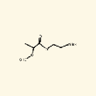 CCCCCCCCOC(=O)C(C)OC=O